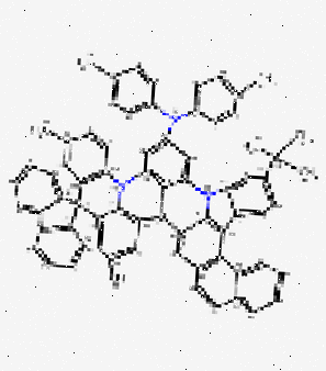 Cc1ccc(N(c2ccc(C)cc2)c2cc3c4c(c2)-n2c5cc(C(C)(C)C)ccc5c5c6c(ccc7ccccc76)cc(c52)B4c2cc(C)cc4c2N3c2ccc(C)cc2[Si]4(c2ccccc2)c2ccccc2)cc1